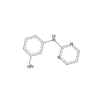 CCCc1cccc(Nc2ncccn2)c1